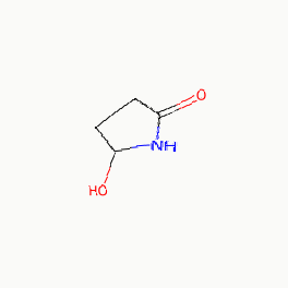 O=C1CCC(O)N1